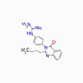 CCCCc1nc2ccccc2c(=O)n1-c1ccc(NC(=N)N)cc1